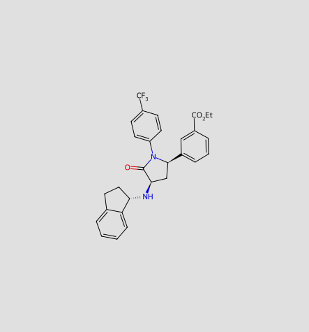 CCOC(=O)c1cccc([C@H]2C[C@@H](N[C@H]3CCc4ccccc43)C(=O)N2c2ccc(C(F)(F)F)cc2)c1